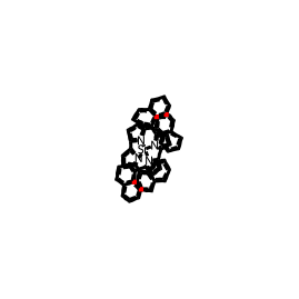 c1ccc2c(-c3ccc4n3[Si]3(n5c(-c6cccc7ccccc67)ccc5-4)n4c(-c5cccc6ccccc56)ccc4-c4ccc(-c5cccc6ccccc56)n43)cccc2c1